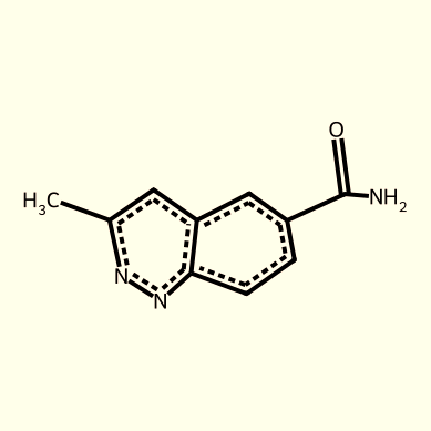 Cc1cc2cc(C(N)=O)ccc2nn1